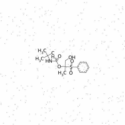 CC(C)(C)NC(=O)OC(C)(CO)S(=O)(=O)c1ccccc1